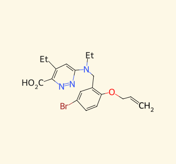 C=CCOc1ccc(Br)cc1CN(CC)c1cc(CC)c(C(=O)O)nn1